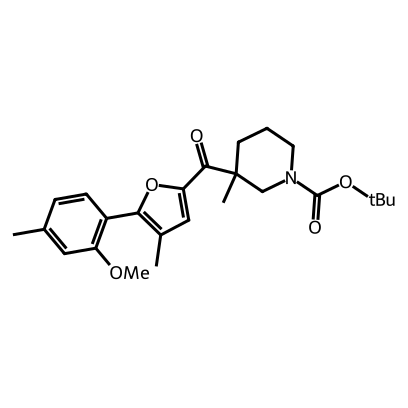 COc1cc(C)ccc1-c1oc(C(=O)C2(C)CCCN(C(=O)OC(C)(C)C)C2)cc1C